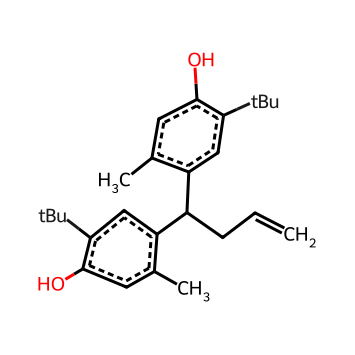 C=CCC(c1cc(C(C)(C)C)c(O)cc1C)c1cc(C(C)(C)C)c(O)cc1C